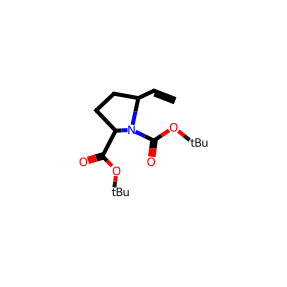 C=CC1CCC(C(=O)OC(C)(C)C)N1C(=O)OC(C)(C)C